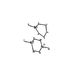 CN1CCCCC1.CN1CCN(C)CC1